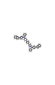 C1=C(c2ccc(-c3ccc(N(c4ccccc4)c4ccc(-c5ccc6ccccc6c5)cc4)cc3)cc2)CCC(N(c2ccccc2)c2ccc(-c3ccc4ccccc4c3)cc2)=C1